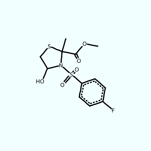 COC(=O)C1(C)SCC(O)N1S(=O)(=O)c1ccc(F)cc1